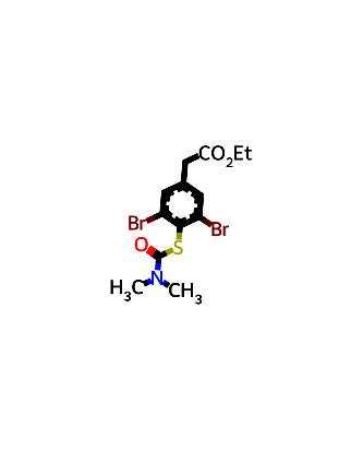 CCOC(=O)Cc1cc(Br)c(SC(=O)N(C)C)c(Br)c1